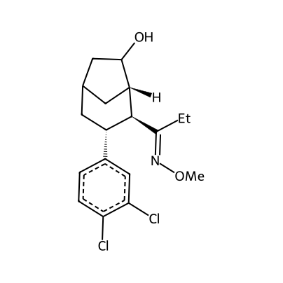 CCC(=NOC)[C@@H]1[C@@H]2CC(CC2O)C[C@H]1c1ccc(Cl)c(Cl)c1